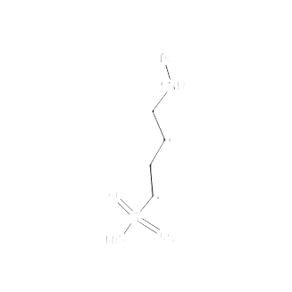 O=S(=O)(O)CCCCNBr